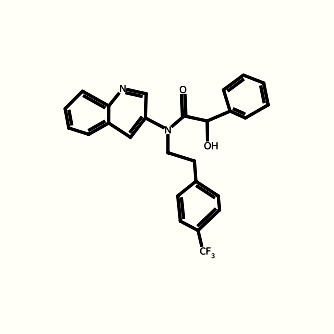 O=C(C(O)c1ccccc1)N(CCc1ccc(C(F)(F)F)cc1)c1cnc2ccccc2c1